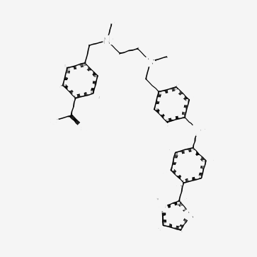 CN(CCN(C)Cc1ccc(C(=O)O)cc1)Cc1ccc(Oc2ccc(-c3ncco3)cc2)cc1